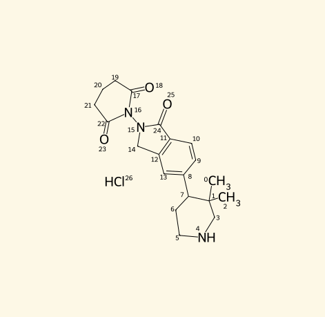 CC1(C)CNCCC1c1ccc2c(c1)CN(N1C(=O)CCCC1=O)C2=O.Cl